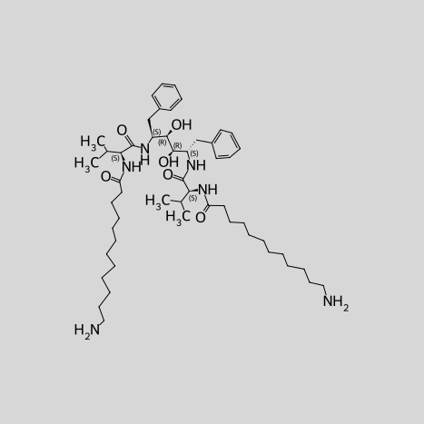 CC(C)[C@H](NC(=O)CCCCCCCCCCCN)C(=O)N[C@@H](Cc1ccccc1)[C@@H](O)[C@H](O)[C@H](Cc1ccccc1)NC(=O)[C@@H](NC(=O)CCCCCCCCCCCN)C(C)C